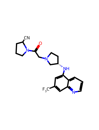 N#CC1CCCN1C(=O)CN1CC[C@H](Nc2cc(C(F)(F)F)cc3ncccc23)C1